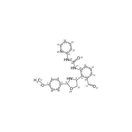 COc1ccc(C2NC(c3c(C=O)cccc3NC(=O)Nc3ccccn3)CO2)cc1